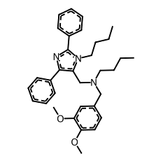 CCCCN(Cc1ccc(OC)c(OC)c1)Cc1c(-c2ccccc2)nc(-c2ccccc2)n1CCCC